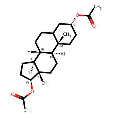 CC(=O)O[C@@H]1CC[C@@]2(C)C(CC[C@H]3[C@@H]4CC[C@H](OC(C)=O)[C@@]4(C)CC[C@@H]32)C1